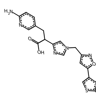 Cc1nc(-c2cc(Cn3cnc(C(Cc4ccc(N)nc4)C(=O)O)c3)no2)cs1